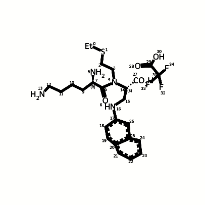 CCSCCN(C(=O)[C@H](N)CCCCN)[C@@H](CNc1ccc2ccccc2c1)C(=O)O.O=C(O)C(F)(F)F